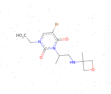 CC(CNC1(C)COC1)n1c(=O)c(Br)cn(CC(=O)O)c1=O